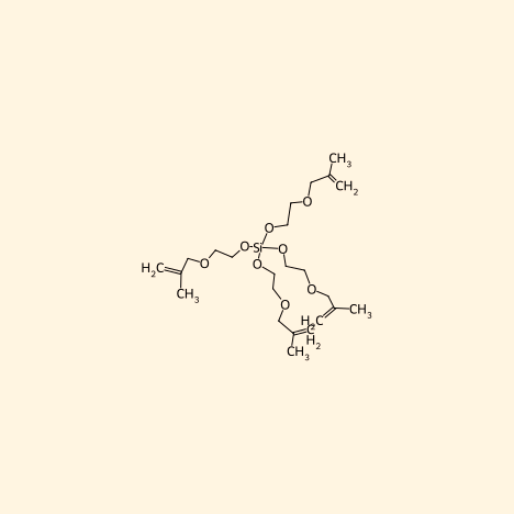 C=C(C)COCCO[Si](OCCOCC(=C)C)(OCCOCC(=C)C)OCCOCC(=C)C